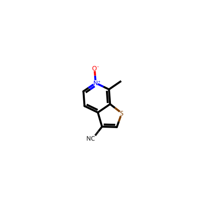 Cc1c2scc(C#N)c2cc[n+]1[O-]